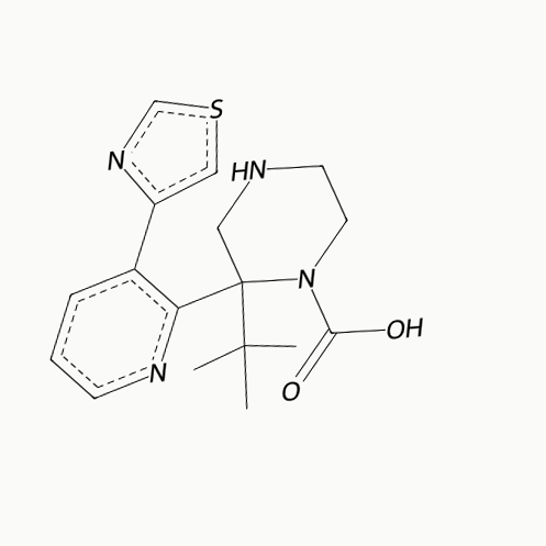 CC(C)(C)C1(c2ncccc2-c2cscn2)CNCCN1C(=O)O